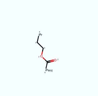 CCCC(C)C(=O)OCCC(C)C